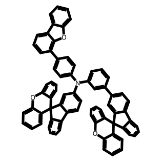 c1cc(-c2ccc3c(c2)C2(c4ccccc4Oc4ccccc42)c2ccccc2-3)cc(N(c2ccc(-c3cccc4c3oc3ccccc34)cc2)c2ccc3c(c2)C2(c4ccccc4Oc4ccccc42)c2ccccc2-3)c1